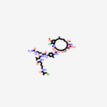 C=C(CBr)C(=O)NCCCCC(C=O)N[C@H](C(=O)N[C@@H](CCCNC(N)=O)C(=O)Nc1ccc(NC(=O)O[C@H]2CC(=O)N(C)c3cc(cc(OC)c3Cl)C/C(C)=C/C=C/[C@@H](OC)[C@@]3(O)C[C@H](OC(O)N3)[C@@H](C)[C@@H]3O[C@@]23C)c(C)c1)C(C)C